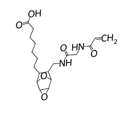 C=CC(=O)NCC(=O)NCC1C(CCCCCCC(=O)O)C2OC1C1OC21